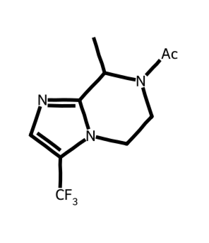 CC(=O)N1CCn2c(C(F)(F)F)cnc2C1C